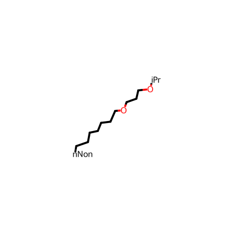 CCCCCCCCCCCCCCCCOCCCOC(C)C